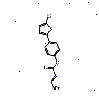 CCC/C=C/C(=O)Oc1ccc(-c2ccc(CC)s2)cc1